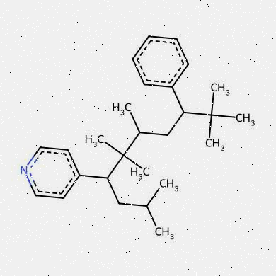 CC(C)CC(c1ccncc1)C(C)(C)C(C)CC(c1ccccc1)C(C)(C)C